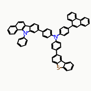 c1ccc(-n2c3cc(-c4ccc(N(c5ccc(-c6ccc7sc8ccccc8c7c6)cc5)c5ccc(-c6cc7ccccc7c7ccccc67)cc5)cc4)ccc3c3ccc4ccccc4c32)cc1